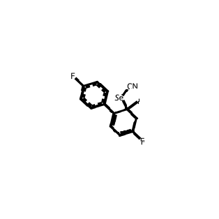 N#C[Se]C1(I)CC(F)=CC=C1c1ccc(F)cc1